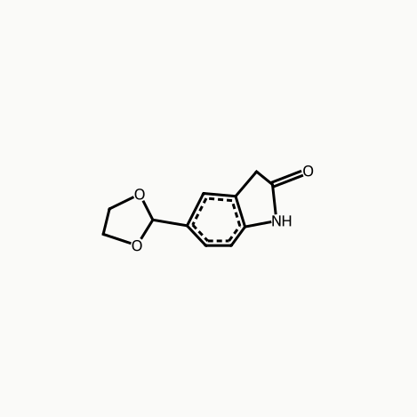 O=C1Cc2cc(C3OCCO3)ccc2N1